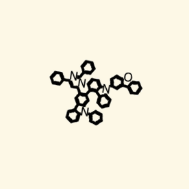 c1ccc(-c2cc(-c3cc4c5ccccc5n(-c5ccccc5)c4cc3-c3cccc4c3c3ccccc3n4-c3ccc4oc5ccccc5c4c3)nc(-c3ccccc3)n2)cc1